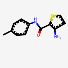 Cc1ccc(NC(=O)c2sccc2N)cc1